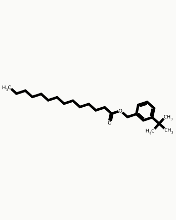 CCCCCCCCCCCCCC(=O)OCc1cccc(C(C)(C)C)c1